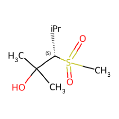 CC(C)[C@@H](C(C)(C)O)S(C)(=O)=O